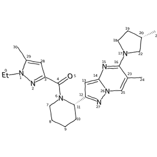 CCn1nc(C(=O)N2CCCC[C@H]2c2cc3nc(N4CC[C@H](C)C4)c(C)cn3n2)cc1C